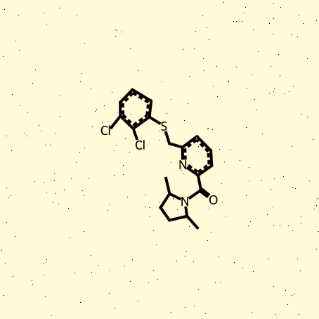 CC1CCC(C)N1C(=O)c1cccc(CSc2cccc(Cl)c2Cl)n1